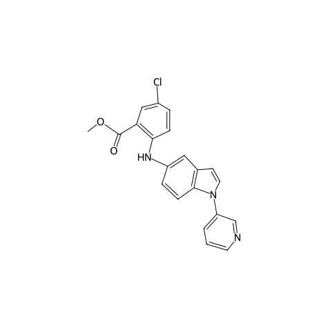 COC(=O)c1cc(Cl)ccc1Nc1ccc2c(ccn2-c2cccnc2)c1